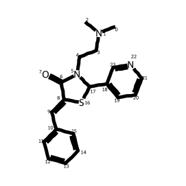 CN(C)CCN1C(=O)C(=Cc2ccccc2)SC1c1cccnc1